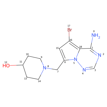 Nc1ncnn2c(CN3CCC(O)CC3)cc(Br)c12